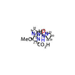 COc1cc(C(=O)O)nc2c1N1CC[C@@H](C1)N2C(=O)Nc1ccccn1